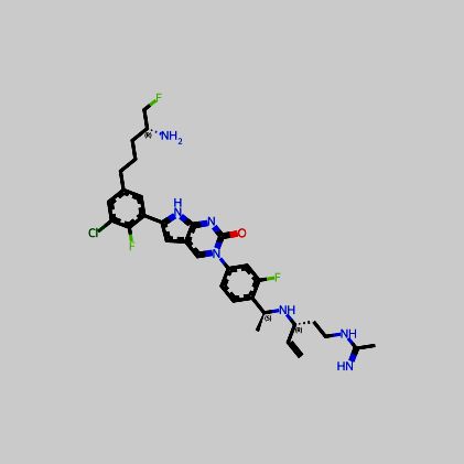 C=C[C@@H](CCNC(C)=N)N[C@@H](C)c1ccc(-n2cc3cc(-c4cc(CCC[C@@H](N)CF)cc(Cl)c4F)[nH]c3nc2=O)cc1F